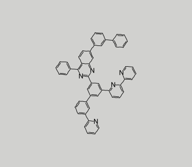 c1ccc(-c2cccc(-c3ccc4c(-c5ccccc5)nc(-c5cc(-c6cccc(-c7ccccn7)c6)cc(-c6cccc(-c7ccccn7)n6)c5)nc4c3)c2)cc1